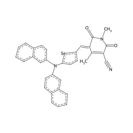 CC1=C(C#N)C(=O)N(C)C(=O)/C1=C/c1ccc(N(c2ccc3ccccc3c2)c2ccc3ccccc3c2)[se]1